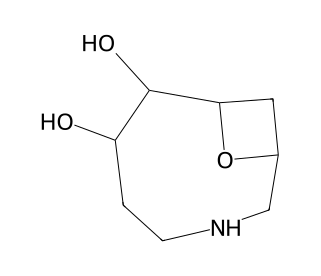 OC1CCNCC2CC(O2)C1O